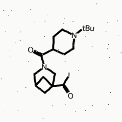 CC(C)(C)N1CCC(C(=O)N2CC3CC(C(=O)I)(C3)C2)CC1